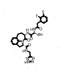 CC[C@H](C)[C@H](NC(=O)Cc1cccc(F)c1F)C(=O)N[C@H]1CCc2cccc3c2N(C1=O)[C@H](C(=O)NCc1nn[nH]n1)C3